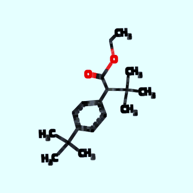 CCOC(=O)C(c1ccc(C(C)(C)C)cc1)C(C)(C)C